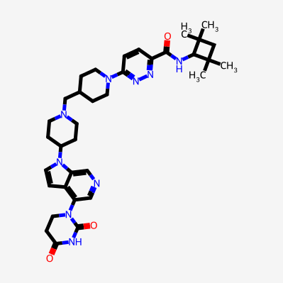 CC1(C)CC(C)(C)C1NC(=O)c1ccc(N2CCC(CN3CCC(n4ccc5c(N6CCC(=O)NC6=O)cncc54)CC3)CC2)nn1